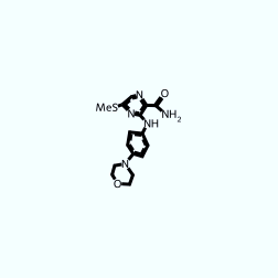 CSc1cnc(C(N)=O)c(Nc2ccc(N3CCOCC3)cc2)n1